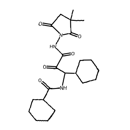 CC1(C)CC(=O)N(NC(=O)C(=O)C(NC(=O)C2CCCCC2)C2CCCCC2)C1=O